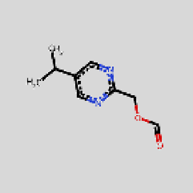 CC(C)c1cnc(COC=O)nc1